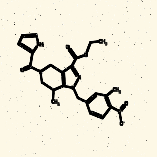 CCOC(=O)c1nn(Cc2ccc([N+](=O)[O-])c(C)c2)c2c1CN(C(=O)c1ccc[nH]1)CC2C